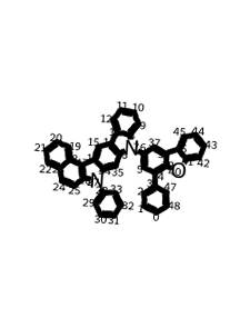 c1ccc(-c2cc(-n3c4ccccc4c4cc5c6c7ccccc7ccc6n(-c6ccccc6)c5cc43)cc3c2oc2ccccc23)cc1